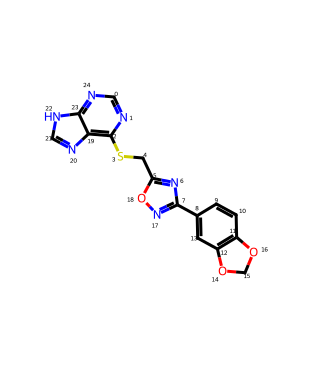 c1nc(SCc2nc(-c3ccc4c(c3)OCO4)no2)c2nc[nH]c2n1